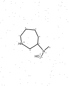 CN(C(=O)O)C1CCCCNC1